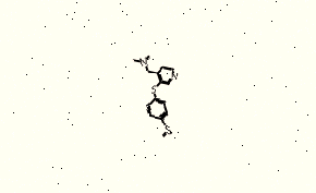 CSc1ccc(Sc2cnccc2CN(C)C)cc1